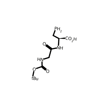 CC(C)(C)OC(=O)NCC(=O)N[C@@H](CP)C(=O)O